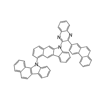 c1cc(-n2c3ccccc3c3ccc4ccccc4c32)c2cc3c4ccccc4n(-c4nc5ccccc5nc4-c4ccc5c(ccc6ccccc65)c4)c3cc2c1